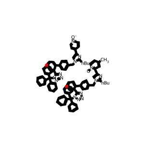 CCCCc1nc(-c2cc(C)cc[n+]2[O-])cn1Cc1ccc(-c2ccccc2-c2nnnn2C(c2ccccc2)(c2ccccc2)c2ccccc2)cc1.CCCCc1nc(-c2cc[n+]([O-])cc2)cn1Cc1ccc(-c2ccccc2-c2nnnn2C(c2ccccc2)(c2ccccc2)c2ccccc2)cc1